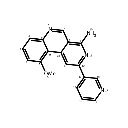 COc1cccc2ncc3c(N)nc(-c4cccnc4)cc3c12